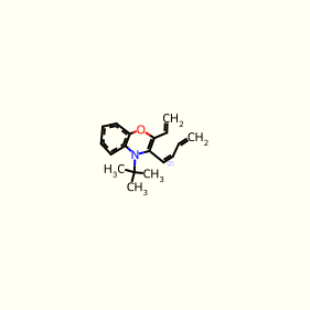 C=C/C=C\C1=C(C=C)Oc2ccccc2N1C(C)(C)C